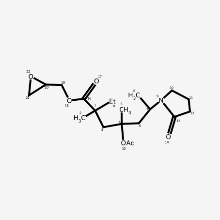 CCC(C)(CC(C)(CC(C)N1CCCC1=O)OC(C)=O)C(=O)OCC1CO1